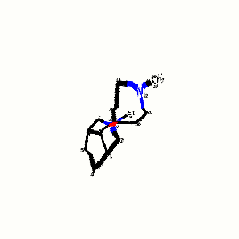 CCN1CC2CCC(C1)C2C1CCN(C)CC1